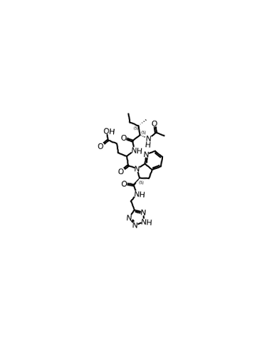 CC[C@H](C)[C@H](NC(C)=O)C(=O)NC(CCC(=O)O)C(=O)N1c2ncccc2C[C@H]1C(=O)NCc1nn[nH]n1